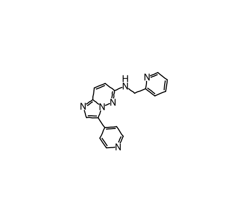 c1ccc(CNc2ccc3ncc(-c4ccncc4)n3n2)nc1